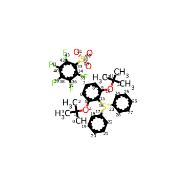 CC(C)(C)Oc1cccc(OC(C)(C)C)c1[S+](c1ccccc1)c1ccccc1.O=S(=O)([O-])c1c(F)c(F)c(F)c(F)c1F